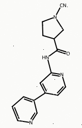 N#CN1CCC(C(=O)Nc2cc(-c3cccnc3)ccn2)C1